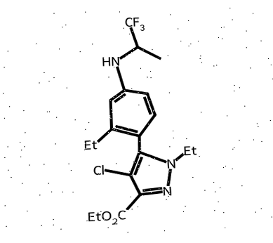 CCOC(=O)c1nn(CC)c(-c2ccc(NC(C)C(F)(F)F)cc2CC)c1Cl